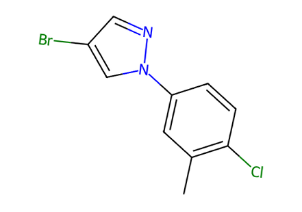 Cc1cc(-n2cc(Br)cn2)ccc1Cl